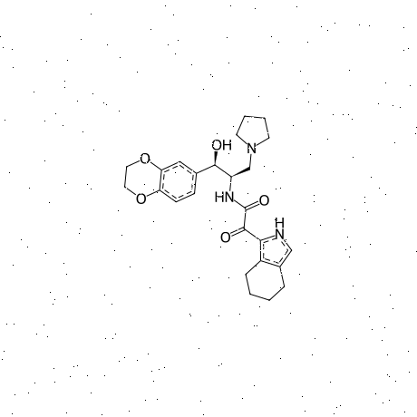 O=C(N[C@H](CN1CCCC1)[C@H](O)c1ccc2c(c1)OCCO2)C(=O)c1[nH]cc2c1CCCC2